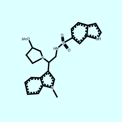 COC1CCN(C(CNS(=O)(=O)c2ccc3cc[nH]c3c2)c2cn(C)c3ccccc23)C1